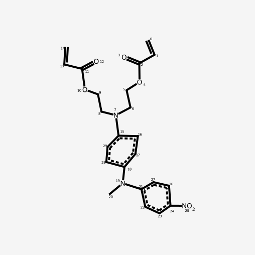 C=CC(=O)OCCN(CCOC(=O)C=C)c1ccc(N(C)c2ccc([N+](=O)[O-])cc2)cc1